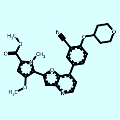 COC(=O)c1cc(OC)c(-c2cc3nccc(-c4ccc(OC5CCOCC5)c(C#N)c4)c3o2)n1C